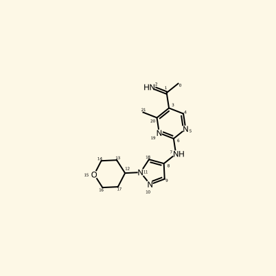 CC(=N)c1cnc(Nc2cnn(C3CCOCC3)c2)nc1C